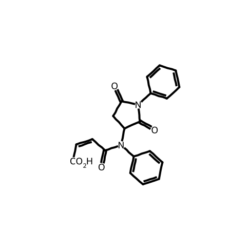 O=C(O)/C=C\C(=O)N(c1ccccc1)C1CC(=O)N(c2ccccc2)C1=O